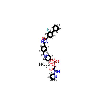 O=C(COC(=O)OC1(OC(=O)O)CCN(Cc2ccc(-c3noc(-c4ccc(-c5ccccc5)c(F)c4)n3)cc2)CC1)Nc1ccccn1